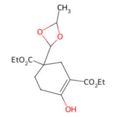 CCOC(=O)C1=C(O)CCC(C(=O)OCC)(C2OC(C)O2)C1